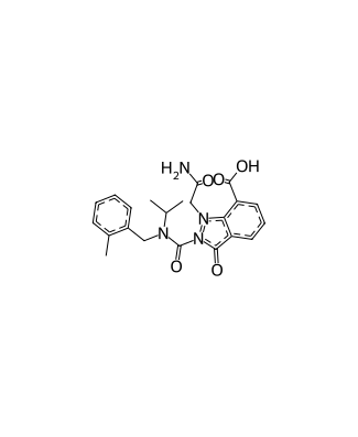 Cc1ccccc1CN(C(=O)n1c(=O)c2cccc(C(=O)O)c2n1CC(N)=O)C(C)C